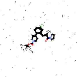 CC(Cc1cc(Cl)ccc1C1=CCN(C(=O)OC(C)(C)C)CC1)C(=O)N1CCCC1